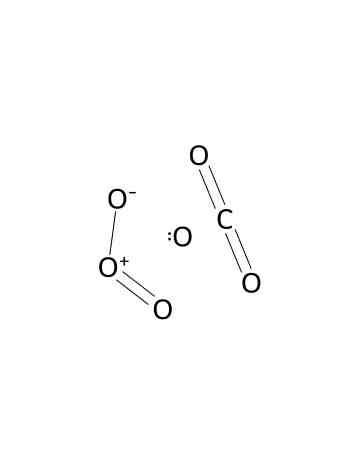 O=C=O.O=[O+][O-].[O]